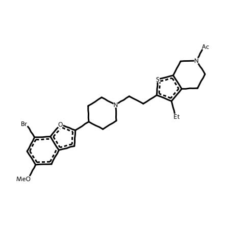 CCc1c(CCN2CCC(c3cc4cc(OC)cc(Br)c4o3)CC2)sc2c1CCN(C(C)=O)C2